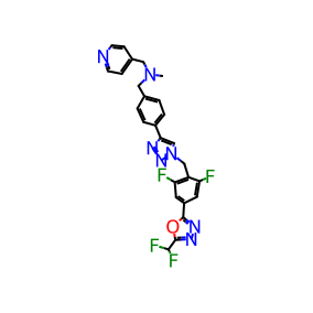 CN(Cc1ccncc1)Cc1ccc(-c2cn(Cc3c(F)cc(-c4nnc(C(F)F)o4)cc3F)nn2)cc1